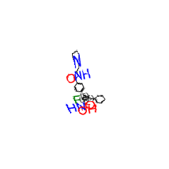 O=C(NCCN1CCCC1)c1ccc([C@@H]2[C@@H](c3ccccc3)[C@@]2(F)C(=O)NO)cc1